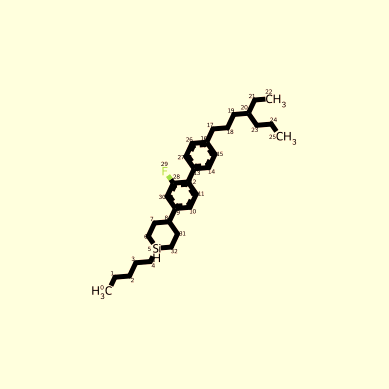 CCCCC[SiH]1CCC(c2ccc(-c3ccc(CCCC(CC)CCC)cc3)c(F)c2)CC1